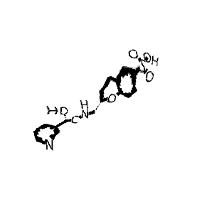 O=S(=O)(O)c1ccc2c(c1)CC[C@@H](CNC[C@@H](O)c1cccnc1)O2